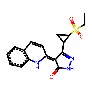 CCS(=O)(=O)C1CC1C1=NNC(=O)C1=C1C=Cc2ccccc2N1